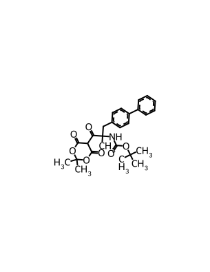 CC(C)(C)OC(=O)NC(C)(Cc1ccc(-c2ccccc2)cc1)C(=O)C1C(=O)OC(C)(C)OC1=O